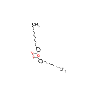 CCCCCC=CCCCc1cccc(C(OC(c2cccc(CCCC=CCCCCC)c2)C2CO2)C2CO2)c1